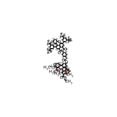 CCOC(=O)C1=C(C)/C(=C(\c2c(C3CCCCC3)cc(OC(=O)Cc3ccc(-n4c(=O)c5cc(-c6cc(C(F)(F)F)cc(C(F)(F)F)c6)c6oc7ccccc7c7c(-c8cc(C(F)(F)F)cc(C(F)(F)F)c8)cc(c4=O)c5c67)cc3)cc2C2CCCCC2)c2c(C)c(C(=O)OCC)c(C)n2B(F)F)N=C1C